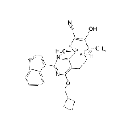 C[C@H]1C(O)=C(C#N)C[C@@]2(C)c3nc(-c4ccnc5ccccc45)nc(OCC4CCC4)c3CC[C@H]12